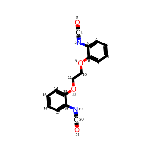 O=C=Nc1ccccc1OCCOc1ccccc1N=C=O